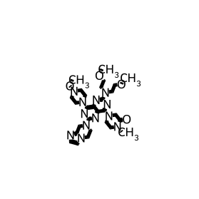 COCCN(CCOC)c1nc(N2CCN(C)C(=O)C2)c2nc(N3CCn4ccnc4C3)nc(N3CCN(OC)CC3)c2n1